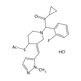 CC(=O)SC1CCN(C(C(=O)C2CC2)c2ccccc2F)C/C1=C/c1ccnn1C.Cl